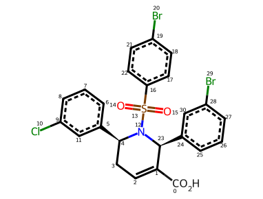 O=C(O)C1=CC[C@@H](c2cccc(Cl)c2)N(S(=O)(=O)c2ccc(Br)cc2)[C@H]1c1cccc(Br)c1